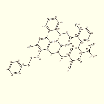 CCCN(CCC)C(Cc1cccc(F)c1OCCc1ccccc1)OC(=O)C(=O)OC(Cc1cccc(F)c1OCCc1ccccc1)N(CCC)CCC